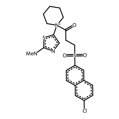 CNc1ncc([N+]2(C(=O)CCS(=O)(=O)c3ccc4cc(Cl)ccc4c3)CCCCC2)s1